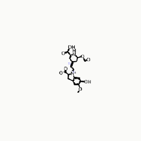 COc1cc2c(cc1O)/[N+](=C/C=C1/C=C(C(=O)O)NC(OC=O)C1)C(C(=O)[O-])C2